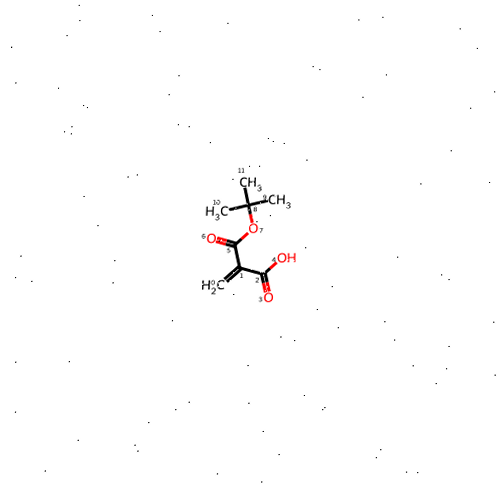 C=C(C(=O)O)C(=O)OC(C)(C)C